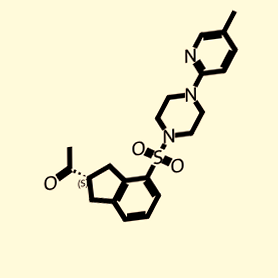 CC(=O)[C@H]1Cc2cccc(S(=O)(=O)N3CCN(c4ccc(C)cn4)CC3)c2C1